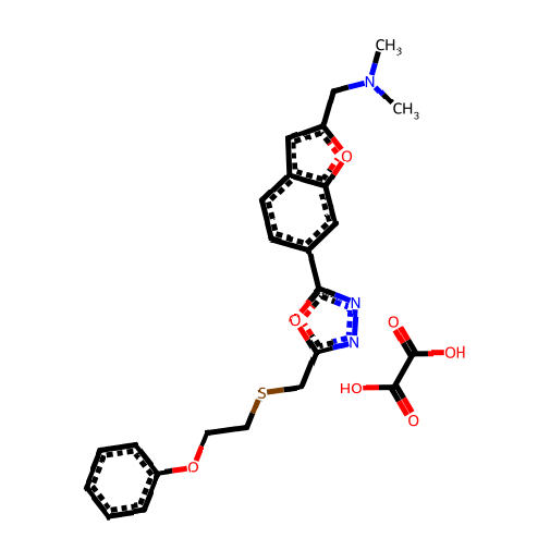 CN(C)Cc1cc2ccc(-c3nnc(CSCCOc4ccccc4)o3)cc2o1.O=C(O)C(=O)O